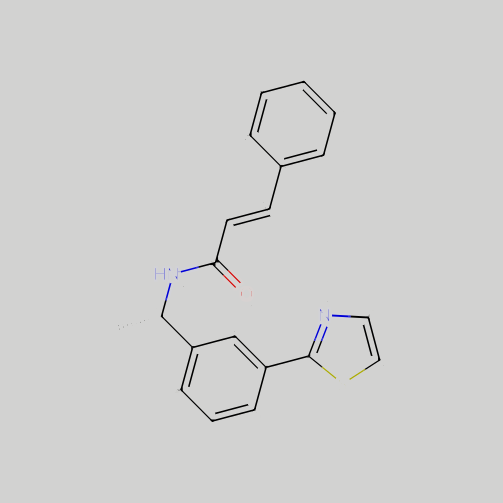 C[C@H](NC(=O)C=Cc1ccccc1)c1cccc(-c2nccs2)c1